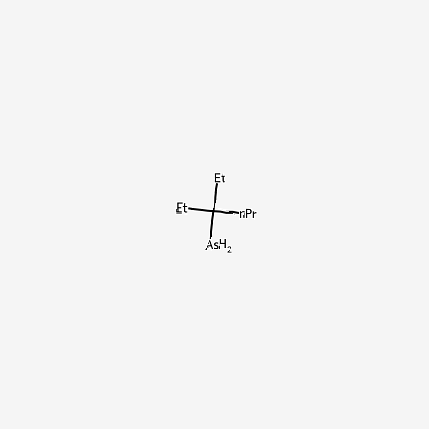 CCCC([AsH2])(CC)CC